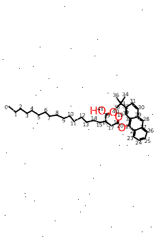 CCCCCCCCCCCCCCCCC(CC(=O)Oc1c2ccccc2cc2ccc(C(C)(C)C)cc12)C(=O)O